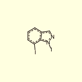 Ic1cccc2cnn(I)c12